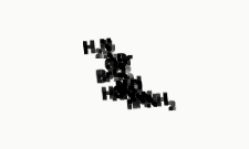 CCCC(NC=NN)NC(=O)C(Cc1cc(Br)c(OCCCN)c(Br)c1)=NO